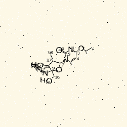 CCOc1ccn(C2OC(CO)(N=[N+]=[N-])C(O)C2C)c(=O)n1